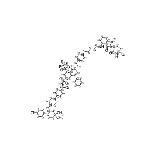 CC1(C)CCC(c2ccc(Cl)cc2)=C(CN2CCN(c3ccc(C(=O)NS(=O)(=O)c4ccc(N[C@H](CCN5CCN(CCCCCNc6cccc7c6C(=O)N(C6CCC(=O)NC6=O)C7=O)CC5)CSc5ccccc5)c(S(=O)(=O)C(F)(F)F)c4)cc3)CC2)C1